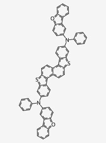 c1ccc(N(c2ccc3c(c2)sc2ccc4c(ccc5sc6cc(N(c7ccccc7)c7ccc8oc9ccccc9c8c7)ccc6c54)c23)c2ccc3oc4ccccc4c3c2)cc1